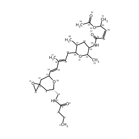 CCCC(=O)NC[C@@H]1CC2(CO2)CC(/C=C/C(C)=C/CC2OC(C)C(NC(=O)/C=C\C(C)OC(C)=O)CC2C)O1